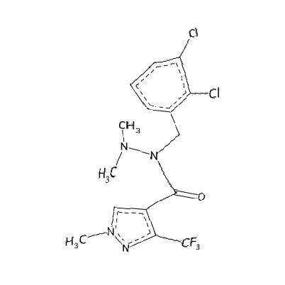 CN(C)N(Cc1cccc(Cl)c1Cl)C(=O)c1cn(C)nc1C(F)(F)F